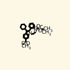 COC(=O)c1ccc2c(C3CCCCC3)c3n(c2c1)CCN(C(=O)OC(C)(C)C)c1ccccc1-3